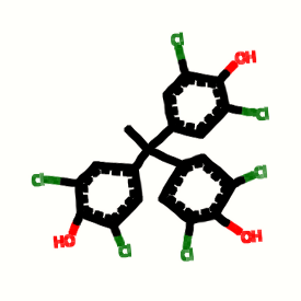 CC(c1cc(Cl)c(O)c(Cl)c1)(c1cc(Cl)c(O)c(Cl)c1)c1cc(Cl)c(O)c(Cl)c1